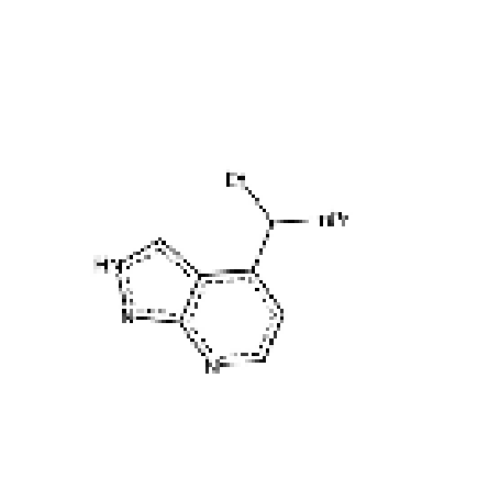 CCCC(CC)c1ccnc2n[nH]cc12